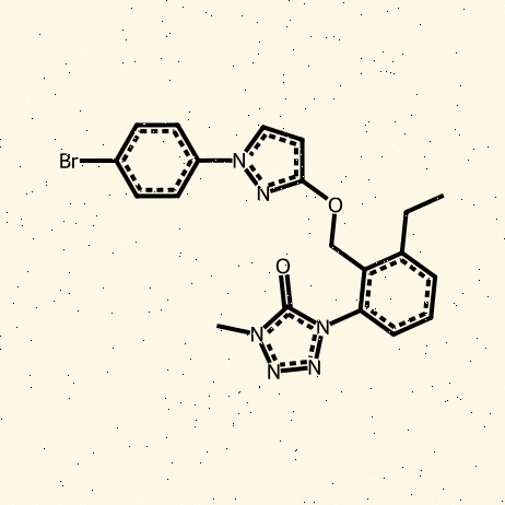 CCc1cccc(-n2nnn(C)c2=O)c1COc1ccn(-c2ccc(Br)cc2)n1